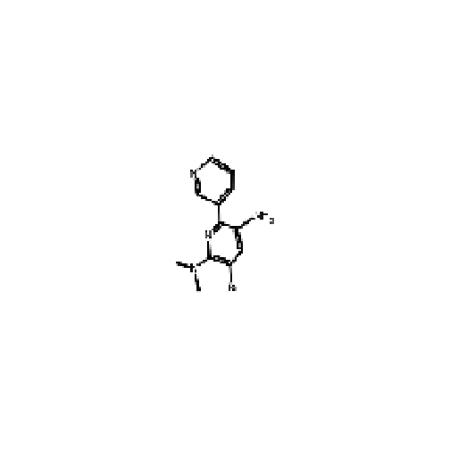 CN(C)c1nc(-c2cccnc2)c(N)cc1Br